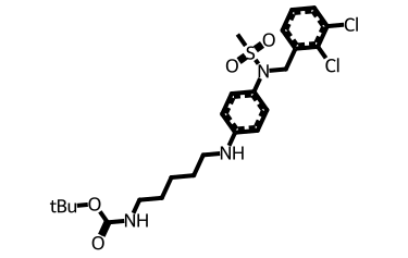 CC(C)(C)OC(=O)NCCCCCNc1ccc(N(Cc2cccc(Cl)c2Cl)S(C)(=O)=O)cc1